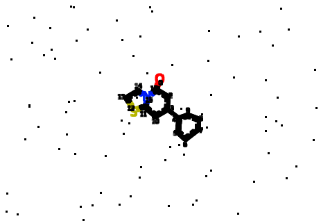 O=c1cc(-c2ccccc2)cc2sccn12